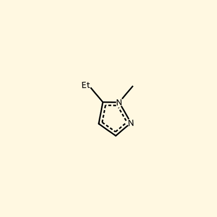 CCc1ccnn1C